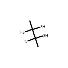 CC(S)(S)C(C)(S)S